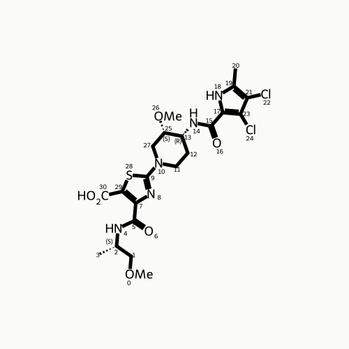 COC[C@H](C)NC(=O)c1nc(N2CC[C@@H](NC(=O)c3[nH]c(C)c(Cl)c3Cl)[C@@H](OC)C2)sc1C(=O)O